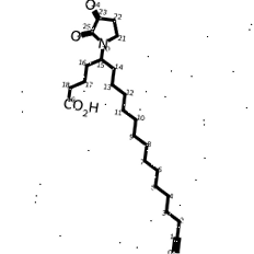 C#CCCCCCCCCCCCCCC(CCCC(=O)O)N1CCC(=O)C1=O